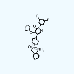 Nc1ccccc1CS(=O)(=O)N1CCN(c2cnn(-c3cc(F)cc(F)c3)c(=O)c2OC2CCCC2)CC1